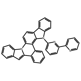 c1ccc(-c2cccc(-n3c4ccccc4c4ccc5c(c6ccccc6c6cc7ccccc7n65)c43)n2)nc1